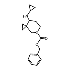 O=C(OCc1ccccc1)N1CCC(NC2CC2)C2(CC2)C1